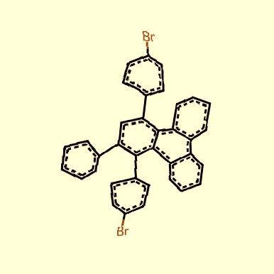 Brc1ccc(-c2cc(-c3ccccc3)c(-c3ccc(Br)cc3)c3c4ccccc4c4ccccc4c23)cc1